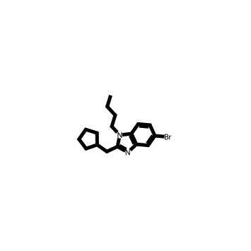 CCCCn1c(CC2CCCC2)nc2cc(Br)ccc21